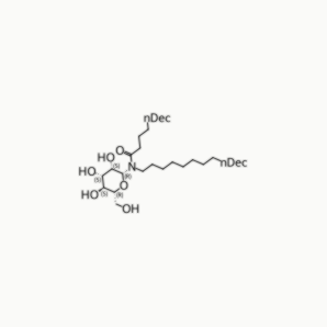 CCCCCCCCCCCCCCCCCCN(C(=O)CCCCCCCCCCCCC)[C@@H]1O[C@H](CO)[C@@H](O)[C@H](O)[C@@H]1O